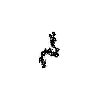 Cc1nc(-c2ccc3c4ccccc4n(-c4cccc(-c5ccc6sc7c(C)nc(-c8cccc9c8c8ccccc8n9-c8ccccc8)nc7c6c5)c4)c3c2)nc2c1sc1ccc(-c3ccnc(-c4nc(C)c5sc6ccccc6c5n4)n3)cc12